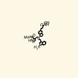 CNC(=O)c1[nH]ncc1CN(CCc1cn(C)c2ccccc12)C1CCc2cc(C=CC(=O)NO)ccc21